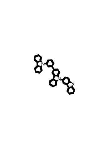 c1cc(-c2ccc3c(c2)c2ccccc2n3-c2ccc3sc4ccccc4c3c2)cc(-n2c3ccccc3c3ccccc32)c1